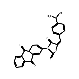 CC(=O)N(C)c1ccc(/C=C2/OC(=S)N(C3=CCC4C(=O)c5ccccc5C(=O)C4=C3)C2=O)cc1